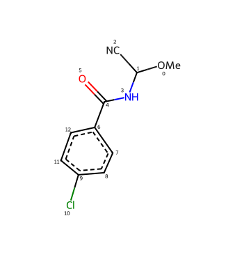 COC(C#N)NC(=O)c1ccc(Cl)cc1